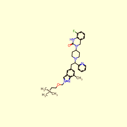 Cc1cc(CC(c2ccccn2)N2CCC(N3Cc4cccc(F)c4NC3=O)CC2)cc2cn(COCC[Si](C)(C)C)nc12